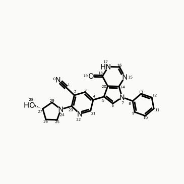 N#Cc1cc(-c2cn(-c3ccccc3)c3nc[nH]c(=O)c23)cnc1N1CC[C@H](O)C1